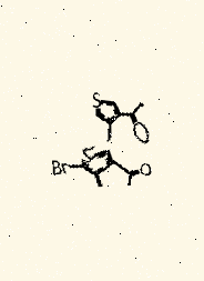 CC(=O)c1csc(Br)c1C.CC(=O)c1cscc1C